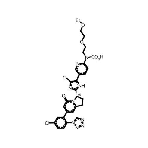 CCOCCOCCN(C(=O)O)c1ccc(-c2[nH]c([C@@H]3CCc4cc(-c5cc(Cl)ccc5-n5cnnn5)cc(=O)n43)nc2Cl)cn1